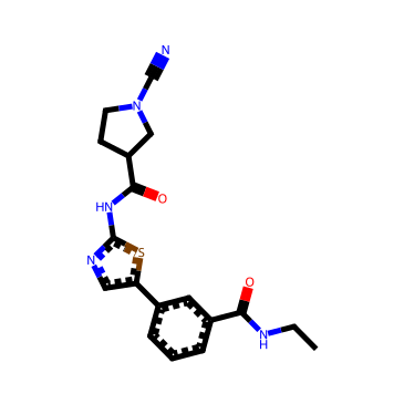 CCNC(=O)c1cccc(-c2cnc(NC(=O)C3CCN(C#N)C3)s2)c1